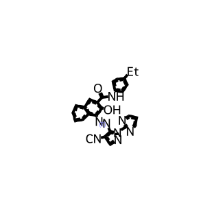 [C-]#[N+]c1cnn(-c2ncccn2)c1/N=N/c1c(O)c(C(=O)Nc2ccc(CC)cc2)cc2ccccc12